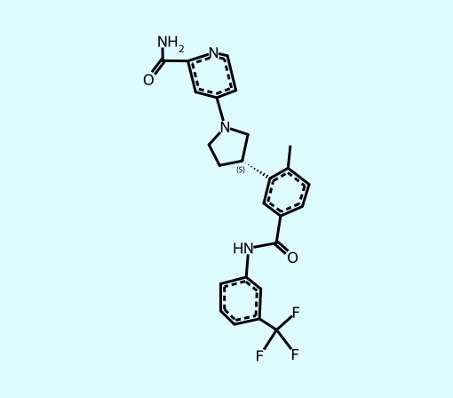 Cc1ccc(C(=O)Nc2cccc(C(F)(F)F)c2)cc1[C@@H]1CCN(c2ccnc(C(N)=O)c2)C1